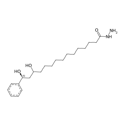 NNC(=O)CCCCCCCCCCCC(O)C[C@H](O)c1ccccc1